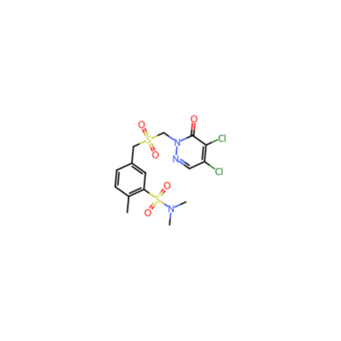 Cc1ccc(CS(=O)(=O)Cn2ncc(Cl)c(Cl)c2=O)cc1S(=O)(=O)N(C)C